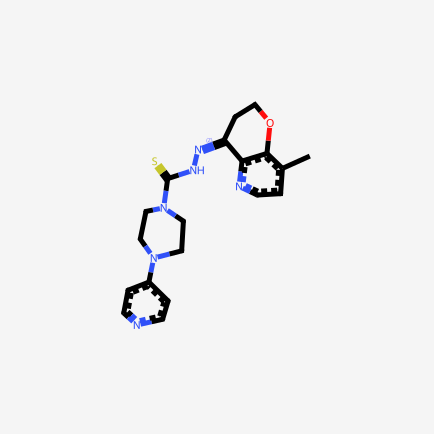 Cc1ccnc2c1OCC/C2=N/NC(=S)N1CCN(c2ccncc2)CC1